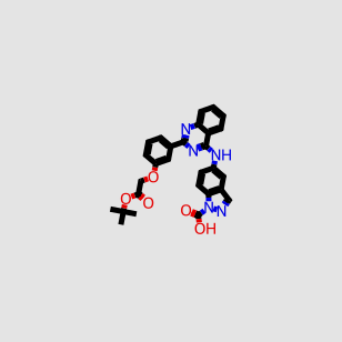 CC(C)(C)OC(=O)COc1cccc(-c2nc(Nc3ccc4c(cnn4C(=O)O)c3)c3ccccc3n2)c1